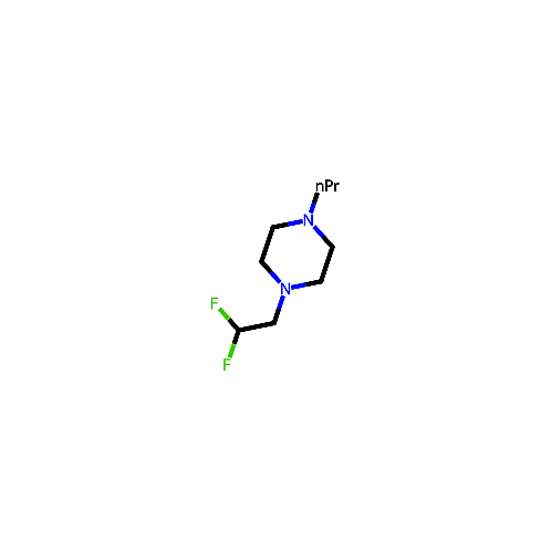 CCCN1CCN(CC(F)F)CC1